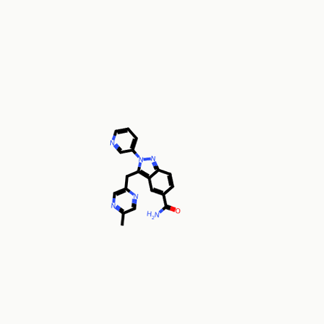 Cc1cnc(Cc2c3cc(C(N)=O)ccc3nn2-c2cccnc2)cn1